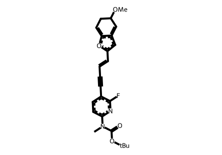 COC1C=c2cc(/C=C/C#Cc3ccc(N(C)C(=O)OC(C)(C)C)nc3F)oc2=CC1